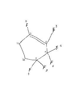 FC1=C(F)C(F)(F)C(F)(F)CC1